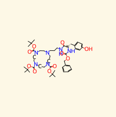 CC(C)(C)OC(=O)N1CCN(CCCNC(=O)[C@H](Cc2ccc(O)cc2)NC(=O)OCc2ccccc2)CCN(C(=O)OC(C)(C)C)CCN(C(=O)OC(C)(C)C)CC1